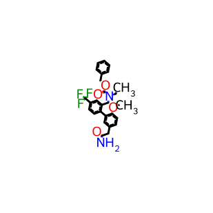 CCN(Cc1cc(C(F)(F)F)ccc1-c1cc(CC(N)=O)ccc1OC)C(=O)OCc1ccccc1